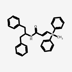 C[Si](C=CC(=O)NC(Cc1ccccc1)Cc1ccccc1)(c1ccccc1)c1ccccc1